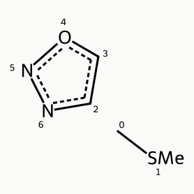 CSC.c1conn1